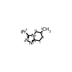 CC1CCc2nnc(C(C)C)n2C1